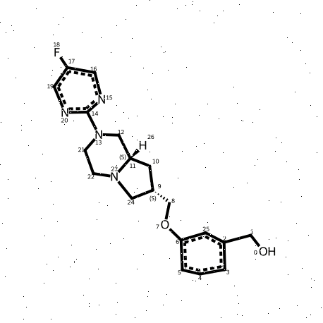 OCc1cccc(OC[C@H]2C[C@H]3CN(c4ncc(F)cn4)CCN3C2)c1